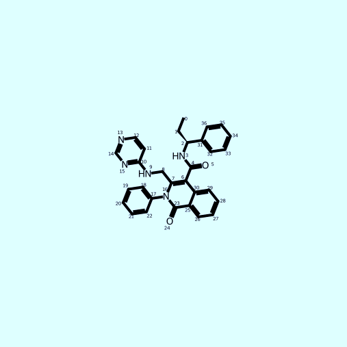 CC[C@H](NC(=O)c1c(CNc2ccncn2)n(-c2ccccc2)c(=O)c2ccccc12)c1ccccc1